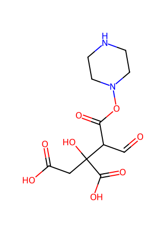 O=CC(C(=O)ON1CCNCC1)C(O)(CC(=O)O)C(=O)O